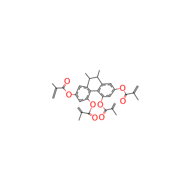 C=C(C)C(=O)Oc1cc(OC(=O)C(=C)C)c2c(c1)C(C)C(C)c1cc(OC(=O)C(=C)C)cc(OC(=O)C(=C)C)c1-2